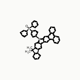 CC1(C)c2ccccc2-c2cc3c4cc5c6ccccc6c6ccccc6c5cc4n(-c4ccc(P(=O)(c5ccccc5)c5ccccc5)cc4)c3cc21